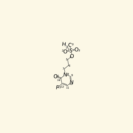 CS(=O)(=O)OCCCn1cncc(F)c1=O